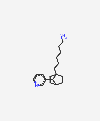 NCCCCCCC12CCC(CC1)C2c1cccnc1